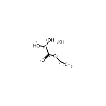 CCOC(=O)N(O)O.[KH]